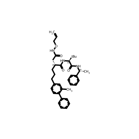 C=CCONC(=O)C[C@@H](CCCc1ccc(-c2ccccc2)c(C)c1)C(=O)N[C@H](C(=O)N[C@H](C)c1ccccc1)C(C)(C)C